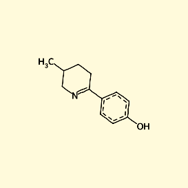 CC1CCC(c2ccc(O)cc2)=NC1